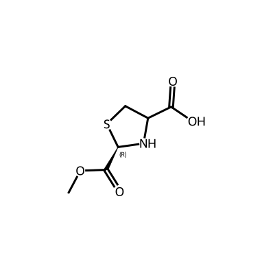 COC(=O)[C@@H]1NC(C(=O)O)CS1